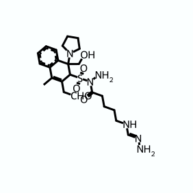 CC1=C(CC=O)C(S(=O)(=O)N(N)C(=O)CCCCNC=NN)C(CO)(N2CCCC2)c2ccccc21